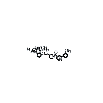 CNC1=NS(C)(C)Nc2cccc(OCCC3CCCN(C(=O)c4ccnc(-c5cccc(O)c5)c4)C3)c21